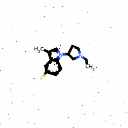 CCN1CCC(n2cc(C)c3cc(F)ccc32)C1